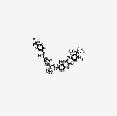 CC(C)(C)c1ccc(O[C@@H](Cc2ccc(OCCN3CC4C(C3)C4NCc3ccc(C(F)(F)F)cc3)cc2)C(=O)O)cc1.Cl.Cl